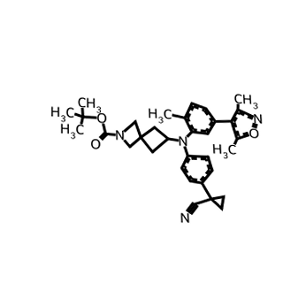 Cc1ccc(-c2c(C)noc2C)cc1N(c1ccc(C2(C#N)CC2)cc1)C1CC2(C1)CN(C(=O)OC(C)(C)C)C2